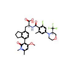 COc1cc(C)n(C)c(=O)c1-c1ccc(C[C@H](NC(=O)c2c(C)cc(N3CCOC[C@@H]3C(F)(F)F)cc2F)C(=O)O)c2c1CCC2